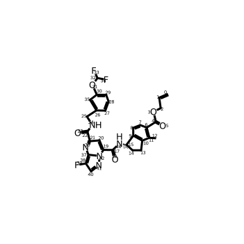 C=CCOC(=O)c1ccc2c(c1C)CC[C@@H]2NC(=O)c1cc(C(=O)NCc2cccc(OC(F)F)c2)nc2c(F)cnn12